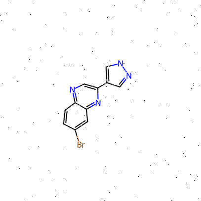 Brc1ccc2ncc(C3=C[N]N=C3)nc2c1